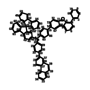 c1ccc(-c2cccc3c2oc2ccc(-c4ccc(N(c5ccc(-c6ccc7c(ccc8ccccc87)c6)cc5)c5ccc6c(c5)C5(c7ccccc7-c7ccccc75)c5ccccc5-6)cc4)cc23)cc1